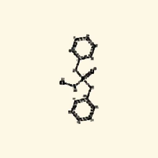 O=P(Cc1ccccc1)(Cc1ccccc1)SCl